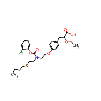 CCCCSCCN(CCOc1ccc(CC(OCC)C(=O)O)cc1)C(=O)Oc1ccccc1Cl